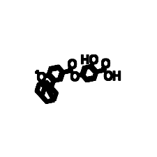 COc1ccc(C(=O)Oc2ccc(C(=O)O)c(O)c2)cc1C12CC3CC(CC(C3)C1)C2